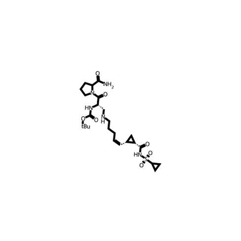 CC(C)(C)OC(=O)N[C@@H](CNCCC/C=C\[C@@H]1C[C@@H]1C(=O)NS(=O)(=O)C1CC1)C(=O)N1CCCC1C(N)=O